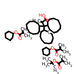 C=C(C(=O)O)C(C1CCCCCCCCC1)(C1CCCCCCCCC1)C1CCCCCCCCC1.C=C(C)C(=O)OC(C)(C)C.C=C(C)C(=O)OC1CCCCC1.C=C(C)C(=O)OC1CCCCC1